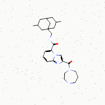 CC1CC2CC(C)CC(CNC(=O)c3cccc4nc(C(=O)N5CCCNCC5)cn34)(C1)C2